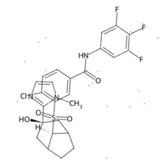 Cn1ccnc1[C@]1(O)CC2CCC(C1)[C@H]2S(=O)(=O)c1cc(C(=O)Nc2cc(F)c(F)c(F)c2)ccc1Cl